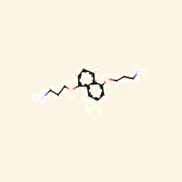 Cl.Cl.NCCCOc1cccc2c(OCCCN)cccc12